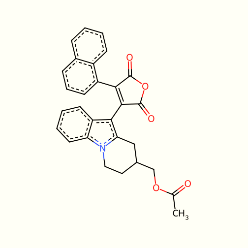 CC(=O)OCC1CCn2c(c(C3=C(c4cccc5ccccc45)C(=O)OC3=O)c3ccccc32)C1